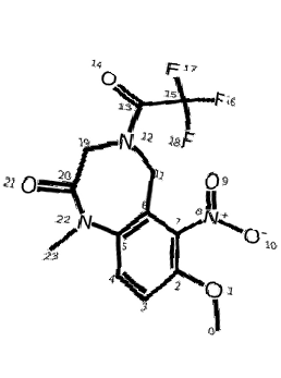 COc1ccc2c(c1[N+](=O)[O-])CN(C(=O)C(F)(F)F)CC(=O)N2C